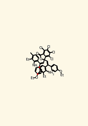 CCOc1ccc(C(=CC2(C=C(c3ccc(OCC)cc3)c3ccc(C)c(CC)c3N)OC(=O)c3c(Cl)c(Cl)c(Cl)c(Cl)c32)c2ccc(C)c(CC)c2N)cc1